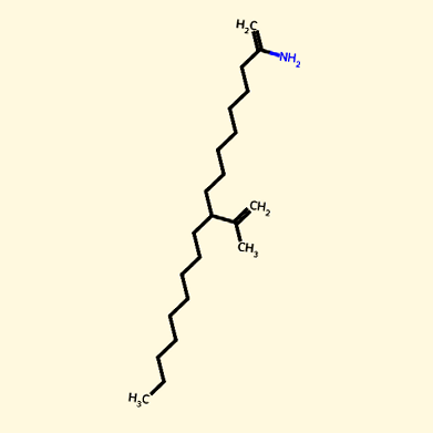 C=C(N)CCCCCCCC(CCCCCCCCC)C(=C)C